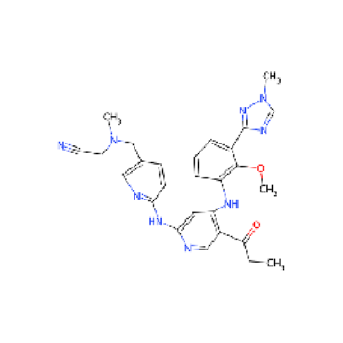 CCC(=O)c1cnc(Nc2ccc(CN(C)CC#N)cn2)cc1Nc1cccc(-c2ncn(C)n2)c1OC